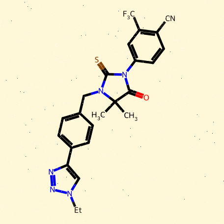 CCn1cc(-c2ccc(CN3C(=S)N(c4ccc(C#N)c(C(F)(F)F)c4)C(=O)C3(C)C)cc2)nn1